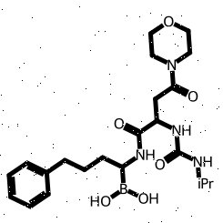 CC(C)NC(=O)NC(CC(=O)N1CCOCC1)C(=O)NC(CCCc1ccccc1)B(O)O